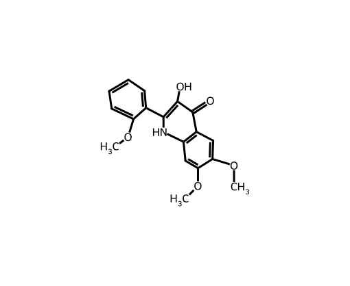 COc1cc2[nH]c(-c3ccccc3OC)c(O)c(=O)c2cc1OC